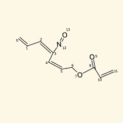 C=C/C=C(\C=C/COC(=O)C=C)N=O